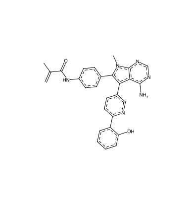 C=C(C)C(=O)Nc1ccc(-c2c(-c3ccc(-c4ccccc4O)nc3)c3c(N)ncnc3n2C)cc1